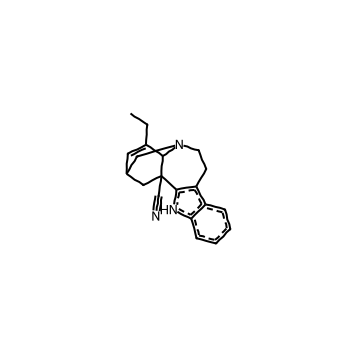 CCC1=CC2CN3CCc4c([nH]c5ccccc45)C(C#N)(C2)C13